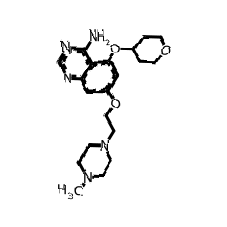 CN1CCN(CCOc2cc(OC3CCOCC3)c3c(N)ncnc3c2)CC1